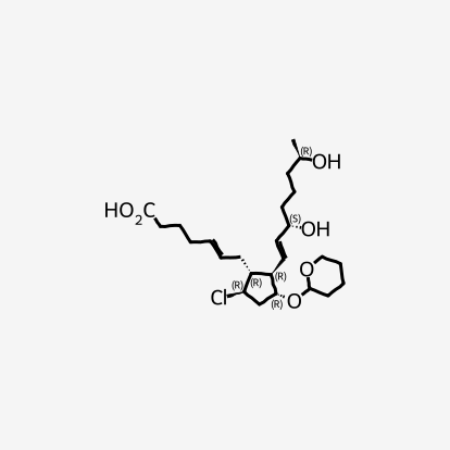 C[C@@H](O)CCC[C@H](O)C=C[C@@H]1[C@@H](CC=CCCCC(=O)O)[C@H](Cl)C[C@H]1OC1CCCCO1